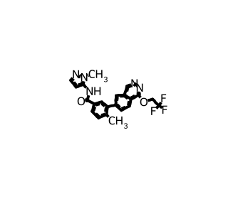 Cc1ccc(C(=O)Nc2ccnn2C)cc1-c1ccc2c(OCC(F)(F)F)nncc2c1